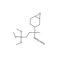 CO[Si](CCC(C)(N=C=O)C1CCC2OC2C1)(OC)OC